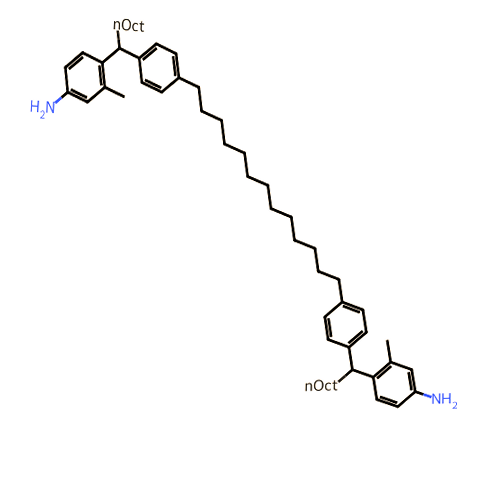 CCCCCCCCC(c1ccc(CCCCCCCCCCCCCc2ccc(C(CCCCCCCC)c3ccc(N)cc3C)cc2)cc1)c1ccc(N)cc1C